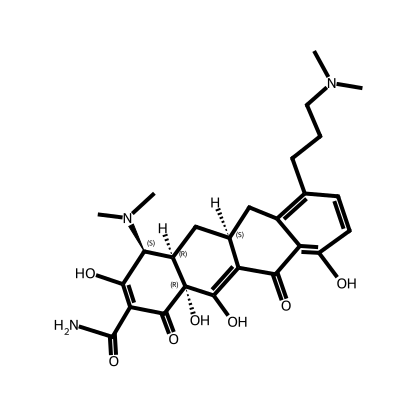 CN(C)CCCc1ccc(O)c2c1C[C@@H]1C[C@@H]3[C@H](N(C)C)C(O)=C(C(N)=O)C(=O)[C@]3(O)C(O)=C1C2=O